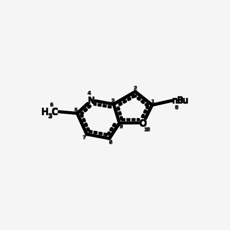 CCCCc1cc2nc(C)ccc2o1